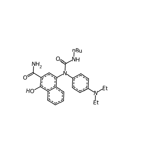 CCCCNC(=O)N(c1ccc(N(CC)CC)cc1)c1cc(C(N)=O)c(O)c2ccccc12